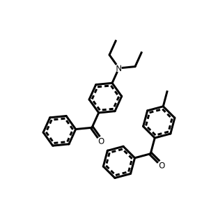 CCN(CC)c1ccc(C(=O)c2ccccc2)cc1.Cc1ccc(C(=O)c2ccccc2)cc1